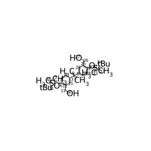 CC(C)(c1ccc(O[Si](C)(C)C(C)(C)C)c(CO)c1)c1ccc(O[Si](C)(C)C(C)(C)C)c(CO)c1